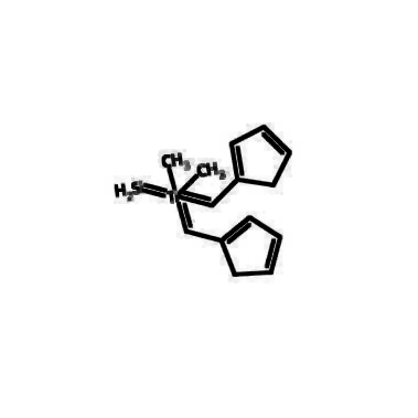 [CH3][Ti]([CH3])(=[SiH2])(=[CH]C1=CC=CC1)=[CH]C1=CC=CC1